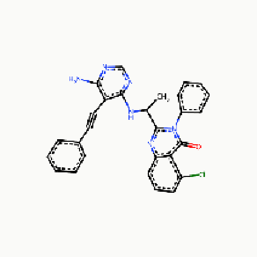 CC(Nc1ncnc(N)c1C#Cc1ccccc1)c1nc2cccc(Cl)c2c(=O)n1-c1ccccc1